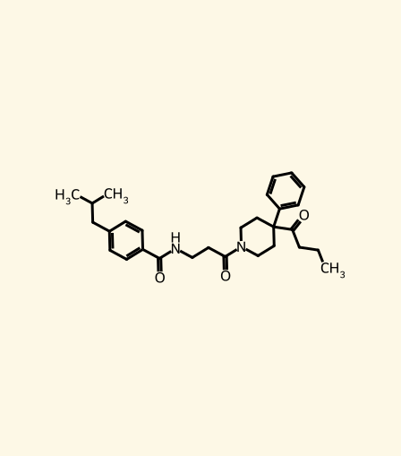 CCCC(=O)C1(c2ccccc2)CCN(C(=O)CCNC(=O)c2ccc(CC(C)C)cc2)CC1